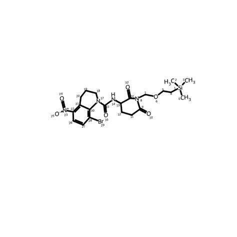 C[Si](C)(C)CCOCN1C(=O)CCC(NC(=O)N2CCCc3c([N+](=O)[O-])ccc(Br)c32)C1=O